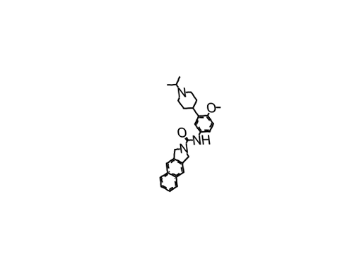 COc1ccc(NC(=O)N2Cc3cc4ccccc4cc3C2)cc1C1CCN(C(C)C)CC1